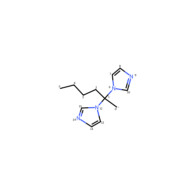 [CH2]C(CCCC)(n1ccnc1)n1ccnc1